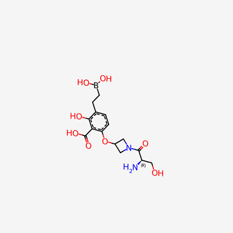 N[C@H](CO)C(=O)N1CC(Oc2ccc(CCB(O)O)c(O)c2C(=O)O)C1